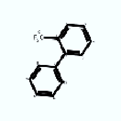 FC(F)(F)c1ccccc1-c1[c]cccc1